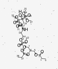 CCC(=O)OCC(COP(=O)(OC)OCCNC(=O)CC(O)(P(=O)(OC)OC)P(=O)(OC)OC)OC(=O)CC